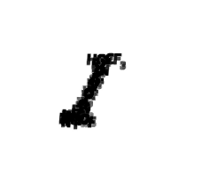 OC(CC(F)(F)F)c1ncc(N2CCN(c3ccc(-c4ccc(C(F)(F)C(O)(Cn5cnnn5)c5ccc(F)cc5F)nc4)cc3)CC2)cc1F